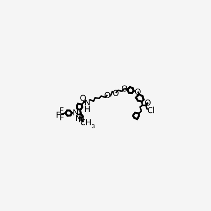 Cn1cc2c3cc(C(=O)NCCCCCCOCCOCCOc4ccc(Oc5ccc(C(CCc6ccccc6)C(=O)CCl)cc5)cc4)ccc3n(-c3ccc(C(F)(F)F)cc3)c2n1